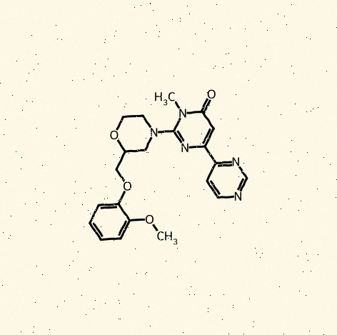 COc1ccccc1OCC1CN(c2nc(-c3ccncn3)cc(=O)n2C)CCO1